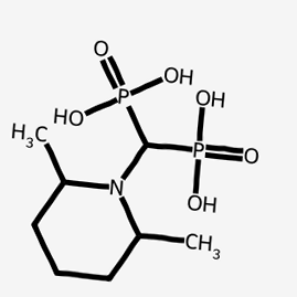 CC1CCCC(C)N1C(P(=O)(O)O)P(=O)(O)O